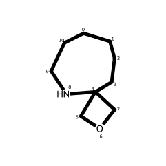 C1CCCC2(COC2)NCC1